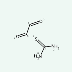 NC(N)=S.O=CC=O